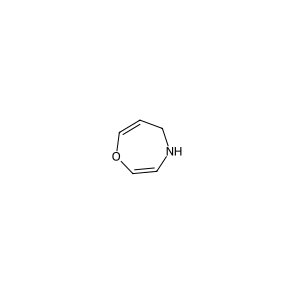 C1=COC=CNC1